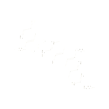 CNc1ncc2cc(-c3ccnc(NS(=O)(=O)c4cc(Cl)cnc4OC)c3F)c(OC)nc2n1